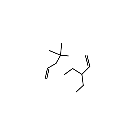 C=CC(CC)CC.C=CCC(C)(C)C